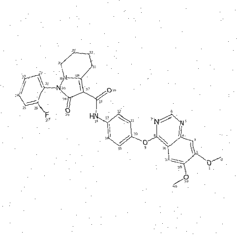 COc1cc2ncnc(Oc3ccc(NC(=O)c4c5n(n(-c6ccccc6F)c4=O)CCCC5)cc3)c2cc1OC